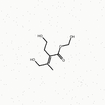 CC(CO)=C(CCO)C(=O)OCO